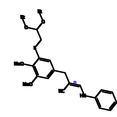 CCOC(CSc1cc(C/C(C#N)=C/Nc2ccccc2)cc(OC)c1OC)OCC